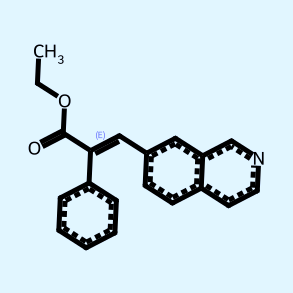 CCOC(=O)/C(=C/c1ccc2ccncc2c1)c1ccccc1